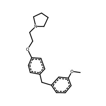 COc1cccc(Cc2ccc(OCCN3CCCC3)cc2)c1